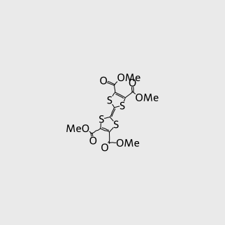 COC(=O)C1=C(C(=O)OC)SC(=C2SC(C(=O)OC)=C(C(=O)OC)S2)S1